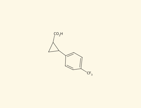 O=C(O)C1CC1c1ccc(C(F)(F)F)cc1